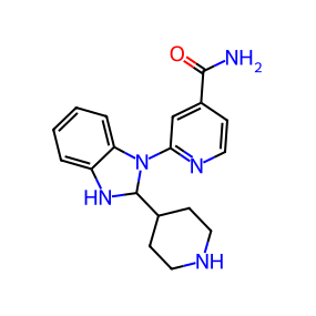 NC(=O)c1ccnc(N2c3ccccc3NC2C2CCNCC2)c1